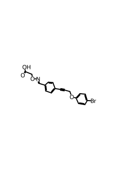 O=C(O)CON=Cc1ccc(C#CCOc2ccc(Br)cc2)cc1